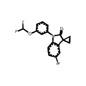 O=C1N(c2cccc(OC(F)F)c2)c2ccc(Br)cc2C12CC2